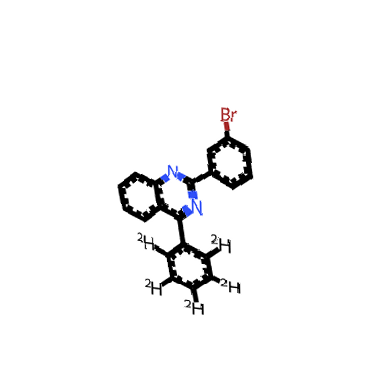 [2H]c1c([2H])c([2H])c(-c2nc(-c3cccc(Br)c3)nc3ccccc23)c([2H])c1[2H]